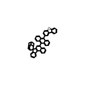 c1ccc2c(c1)-c1c(cc(-c3c4ccccc4c(-c4ccc5oc6ccccc6c5c4)c4ccccc34)c3ccccc13)C21C2CC3CC(C2)CC1C3